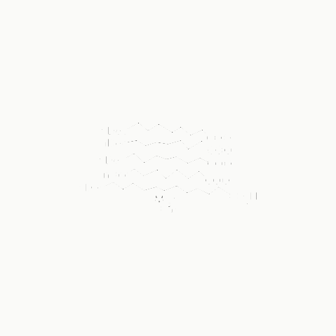 CCCCCCCCCCCCCCCCCC(=O)[O-].CCCCCCCCCCCCCCCCCC(=O)[O-].CCCCCCCCCCCCCCCCCC(=O)[O-].CCCCCCCCCCCCCCCCCC(=O)[O-].CCCCCCCCCCCCCCCCCCCCCC(=O)O.[Ca+2].[Mg+2]